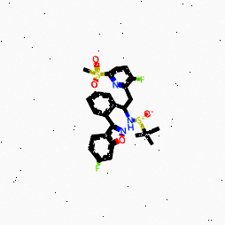 CC(C)(C)[S@+]([O-])NC(Cc1nc(S(C)(=O)=O)ccc1F)c1ccccc1-c1noc2cc(F)ccc12